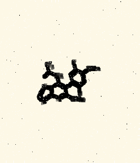 COc1cc(F)c(-c2c(OC)nc3ncnn3c2NC(C)C(F)(F)F)cc1F